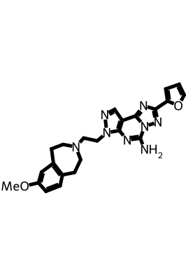 COc1ccc2c(c1)CCN(CCn1ncc3c1nc(N)n1nc(-c4ccco4)nc31)CC2